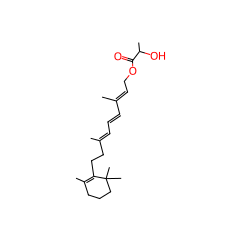 CC1=C(CC/C(C)=C/C=C/C(C)=C/COC(=O)C(C)O)C(C)(C)CCC1